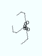 CCCCC/C=C\C/C=C\CCCCCCCC(=O)OC[C@@H](COC(=O)CCCCCCC/C=C\CCCCCCC)OC(=O)CCCCCCC/C=C\C/C=C\CCCCC